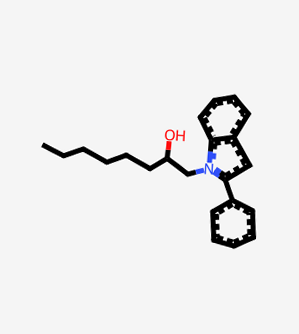 CCCCCCC(O)Cn1c(-c2ccccc2)cc2ccccc21